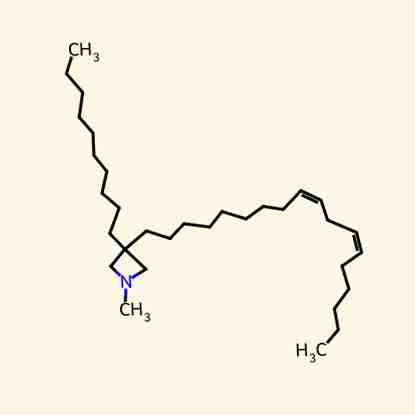 CCCCC/C=C\C/C=C\CCCCCCCCC1(CCCCCCCCCC)CN(C)C1